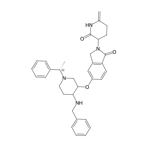 C=C1CCC(N2Cc3cc(OC4CN([C@@H](C)c5ccccc5)CCC4NCc4ccccc4)ccc3C2=O)C(=O)N1